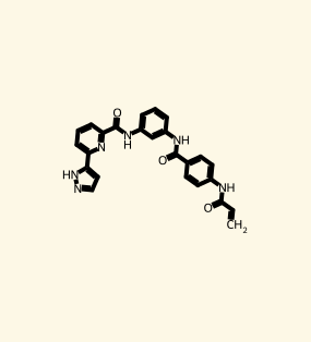 C=CC(=O)Nc1ccc(C(=O)Nc2cccc(NC(=O)c3cccc(-c4ccn[nH]4)n3)c2)cc1